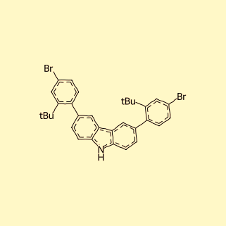 CC(C)(C)c1cc(Br)ccc1-c1ccc2[nH]c3ccc(-c4ccc(Br)cc4C(C)(C)C)cc3c2c1